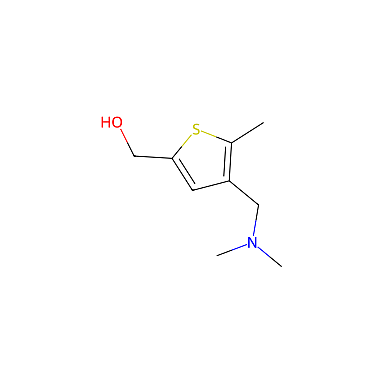 Cc1sc(CO)cc1CN(C)C